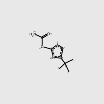 CC(C)(C)c1csc(OC(N)=O)n1